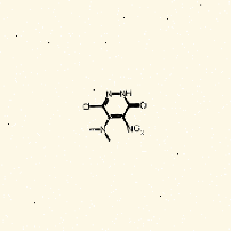 CN(C)c1c(Cl)n[nH]c(=O)c1[N+](=O)[O-]